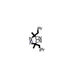 CC(C)CC(C)(C#N)/N=N\C(C)(C#N)CC(C)C